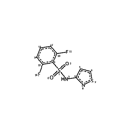 O=S(=O)(Nc1ccsn1)c1c(F)cccc1F